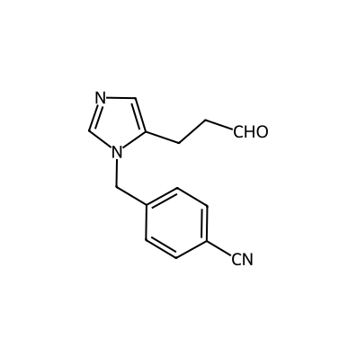 N#Cc1ccc(Cn2cncc2CCC=O)cc1